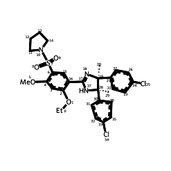 CCOc1cc(OC)c(S(=O)(=O)N2CCCC2)cc1C1=N[C@@](C)(c2ccc(Cl)cc2)[C@@](C)(c2ccc(Cl)cc2)N1